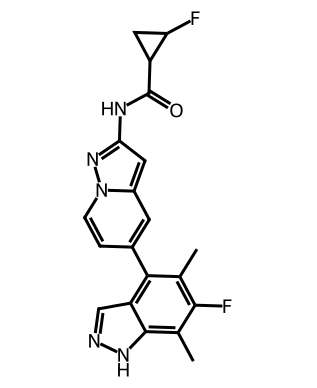 Cc1c(F)c(C)c2[nH]ncc2c1-c1ccn2nc(NC(=O)C3CC3F)cc2c1